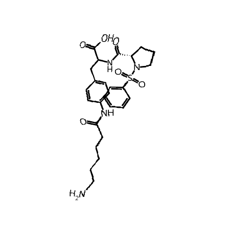 NCCCCCC(=O)Nc1ccc(CC(NC(=O)[C@@H]2CCCN2S(=O)(=O)c2ccccc2)C(=O)O)cc1